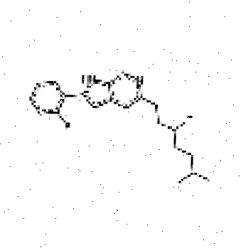 C[C](C)CCC(F)CCc1cc2cc(-c3ccccc3F)[nH]c2nn1